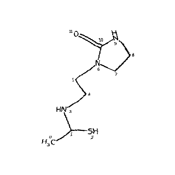 CC(S)NCCN1CCNC1=O